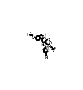 N#Cc1ccc(-n2nc3c(c2C(=O)NCC(F)(F)F)C(=O)N[C@]2(CCc4cc(OCC(F)(F)F)ccc42)C3)nc1